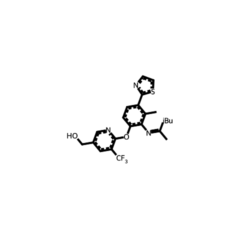 CCC(C)/C(C)=N\c1c(Oc2ncc(CO)cc2C(F)(F)F)ccc(-c2nccs2)c1C